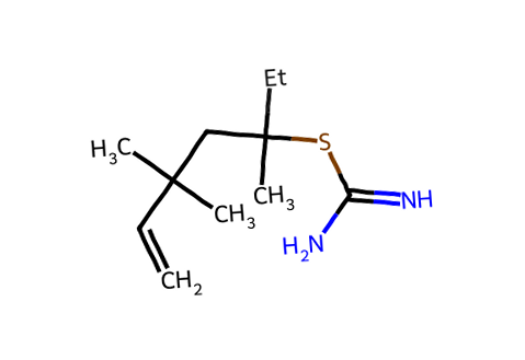 C=CC(C)(C)CC(C)(CC)SC(=N)N